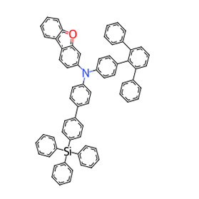 c1ccc(-c2cccc(-c3ccccc3)c2-c2ccc(N(c3ccc(-c4ccc([Si](c5ccccc5)(c5ccccc5)c5ccccc5)cc4)cc3)c3ccc4c(c3)oc3ccccc34)cc2)cc1